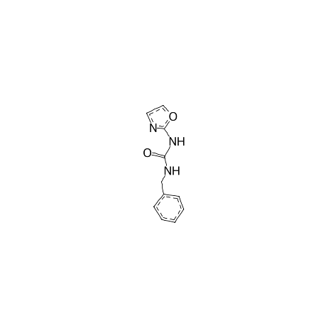 O=C(NCc1ccccc1)Nc1ncco1